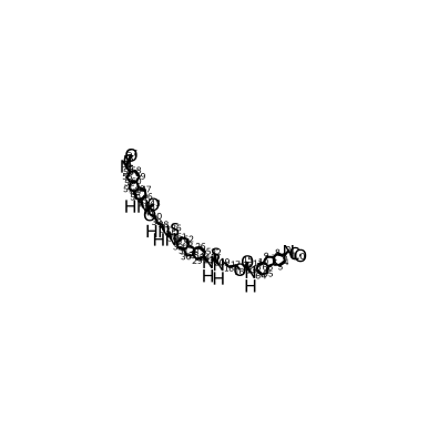 O=C=Nc1ccc2c(c1)Cc1cc(NC(=O)OCCCNC(=S)Nc3ccc4c(c3)Cc3cc(NC(=S)NCCCOC(=O)Nc5ccc6c(c5)Cc5cc(N=C=O)ccc5-6)ccc3-4)ccc1-2